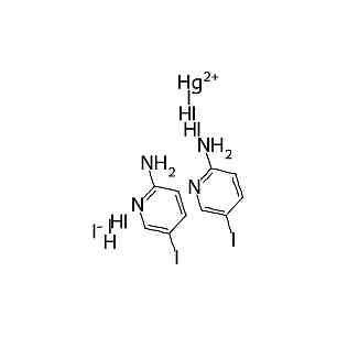 I.I.I.I.Nc1ccc(I)cn1.Nc1ccc(I)cn1.[Hg+2].[I-].[I-]